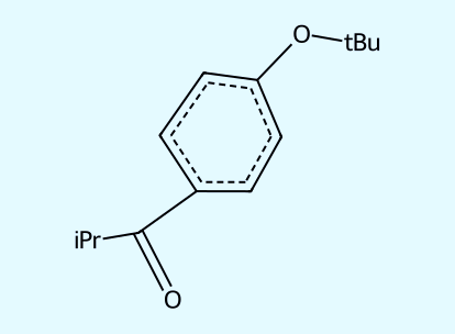 CC(C)C(=O)c1ccc(OC(C)(C)C)cc1